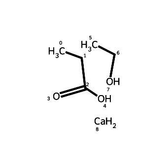 CCC(=O)O.CCO.[CaH2]